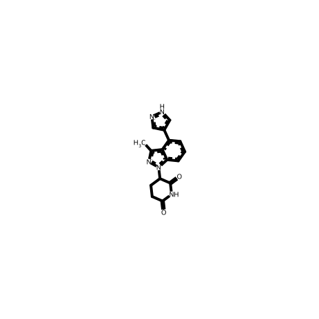 Cc1nn(C2CCC(=O)NC2=O)c2cccc(-c3cn[nH]c3)c12